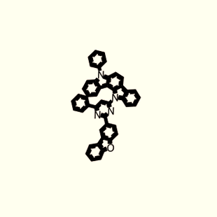 c1ccc(-c2cc(-n3c4ccccc4c4ccc5c(c6ccccc6n5-c5ccccc5)c43)nc(-c3ccc4oc5ccccc5c4c3)n2)cc1